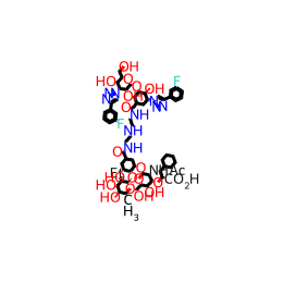 CCC1CC(C(=O)NCCNCCNC(=O)C2CC(n3cc(-c4cccc(F)c4)nn3)[C@H](O)[C@H](O[C@@H]3OC(CO)[C@H](O)C(n4cc(-c5cccc(F)c5)nn4)C3O)C2)C[C@@H](O[C@@H]2OC(CO)[C@H](O)C(O[C@@H](CC3CCCCC3)C(=O)O)C2NC(C)=O)C1O[C@@H]1OC(C)[C@@H](O)C(O)C1O